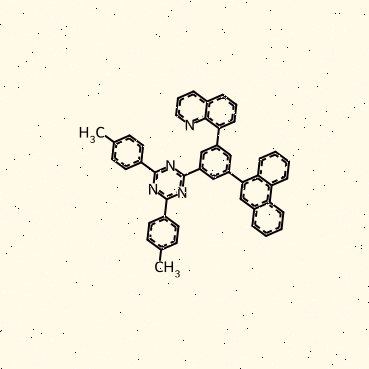 Cc1ccc(-c2nc(-c3ccc(C)cc3)nc(-c3cc(-c4cc5ccccc5c5ccccc45)cc(-c4cccc5cccnc45)c3)n2)cc1